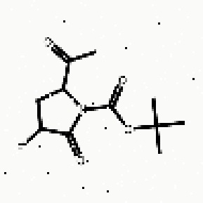 CC(=O)C1CC(F)C(=O)N1C(=O)OC(C)(C)C